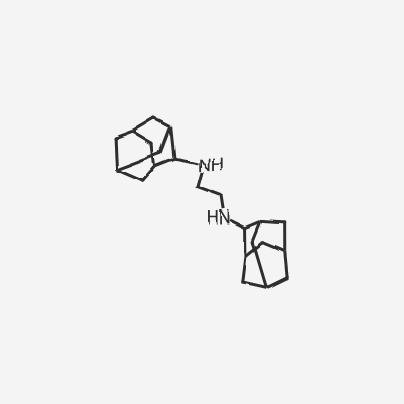 C(CNC1C2CC3CC(C2)CC1C3)NC1C2CC3CC(C2)CC1C3